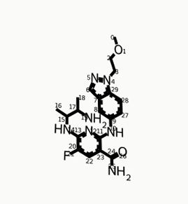 COCCn1ncc2cc(Nc3nc(NC(C)C(C)N)c(F)cc3C(N)=O)ccc21